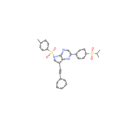 Cc1ccc(S(=O)(=O)n2cc(C#Cc3ccccc3)c3nc(-c4ccc(S(=O)(=O)C(C)C)cc4)cnc32)cc1